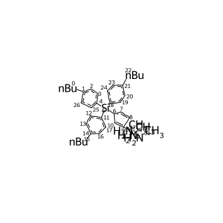 CCCCc1ccc([Si]([C]2C=CC=C2)(c2ccc(CCCC)cc2)c2ccc(CCCC)cc2)cc1.CN.CN.CN